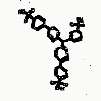 O=S(=O)(O)c1ccc(-c2ccc(P(c3ccc(-c4ccc(S(=O)(=O)O)cc4)cc3)c3cccc(S(=O)(=O)O)c3)cc2)cc1